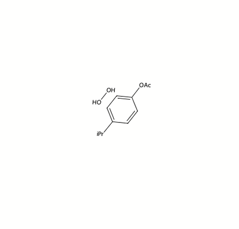 CC(=O)Oc1ccc(C(C)C)cc1.OO